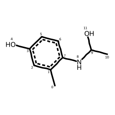 Cc1cc(O)ccc1NC(C)O